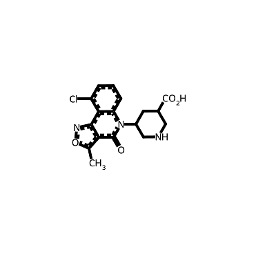 Cc1onc2c1c(=O)n(C1CNCC(C(=O)O)C1)c1cccc(Cl)c21